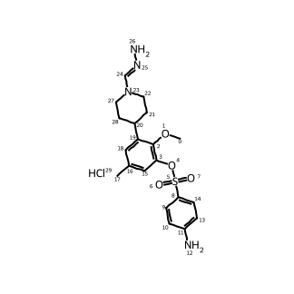 COc1c(OS(=O)(=O)c2ccc(N)cc2)cc(C)cc1C1CCN(C=NN)CC1.Cl